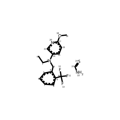 CCN(Cc1ccccc1C(F)(F)F)c1ccc(OC)nc1.NC=S